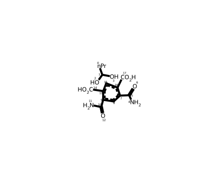 CCCC(O)O.NC(=O)c1cc(C(N)=O)c(C(=O)O)cc1C(=O)O